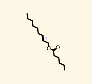 CCCCCC/C=C/COC(=O)CCCCC